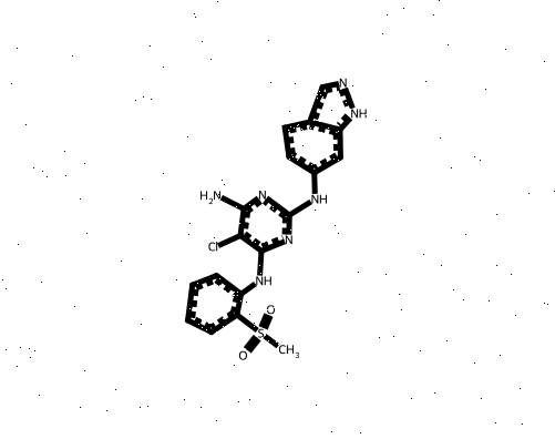 CS(=O)(=O)c1ccccc1Nc1nc(Nc2ccc3cn[nH]c3c2)nc(N)c1Cl